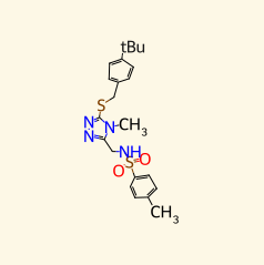 Cc1ccc(S(=O)(=O)NCc2nnc(SCc3ccc(C(C)(C)C)cc3)n2C)cc1